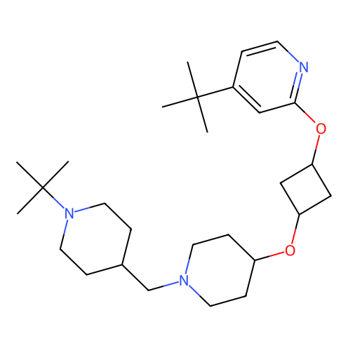 CC(C)(C)c1ccnc(OC2CC(OC3CCN(CC4CCN(C(C)(C)C)CC4)CC3)C2)c1